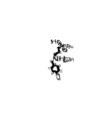 CCCCP(=O)(O)CCCNCc1ccc(Cl)cc1.Cl